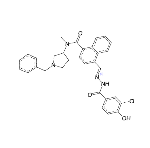 CN(C(=O)c1ccc(/C=N/NC(=O)c2ccc(O)c(Cl)c2)c2ccccc12)C1CCN(Cc2ccccc2)C1